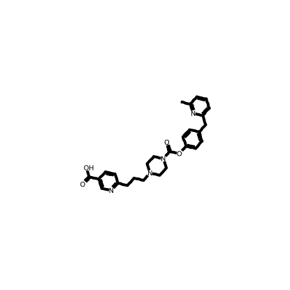 Cc1cccc(Cc2ccc(OC(=O)N3CCN(CCCc4ccc(C(=O)O)cn4)CC3)cc2)n1